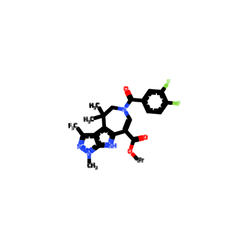 CC(C)OC(=O)C1=CN(C(=O)c2ccc(F)c(F)c2)CC(C)(C)c2c1[nH]c1c2c(C(F)(F)F)nn1C